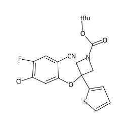 CC(C)(C)OC(=O)N1CC(Oc2cc(Cl)c(F)cc2C#N)(c2cccs2)C1